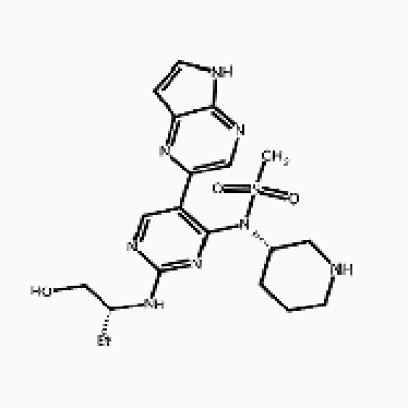 CC[C@H](CO)Nc1ncc(-c2cnc3[nH]ccc3n2)c(N([C@H]2CCCNC2)S(C)(=O)=O)n1